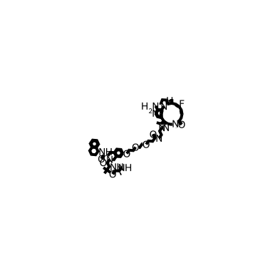 C=C1/C=C(F)\C=C/CC(=O)N(C)Cc2nn(CCN(C)C(=O)CCOCCOCCOc3ccc4c(c3)CN(C(=O)[C@@H](NC(=O)[C@H](C)NC)C(C)(C)C)[C@H](C(=O)N[C@@H]3CCCc5ccccc53)C4)c(C)c2-c2cnc(N)c(c2)N2CCC[C@H]12